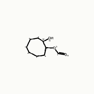 O=COC1CCCCCCC1O